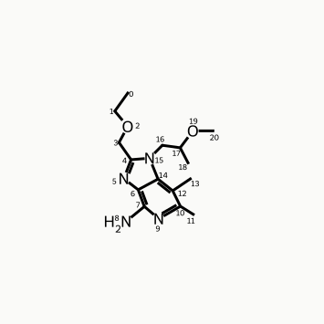 CCOCc1nc2c(N)nc(C)c(C)c2n1CC(C)OC